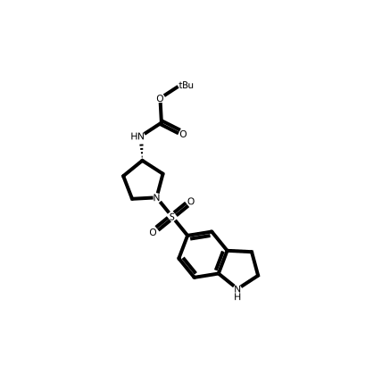 CC(C)(C)OC(=O)N[C@H]1CCN(S(=O)(=O)c2ccc3c(c2)CCN3)C1